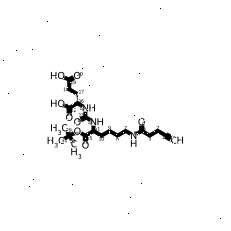 C#CCCC(=O)NCCCCC(NC(=O)N[C@@H](CCC(=O)O)C(=O)O)C(=O)OC(C)(C)C